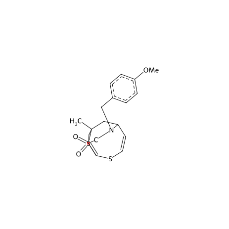 COc1ccc(CN2CC3=C4SC=CC2CC(C)(C3)S4(=O)=O)cc1